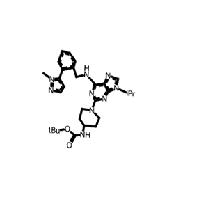 CC(C)n1cnc2c(NCc3ccccc3-c3ccnn3C)nc(N3CCC(NC(=O)OC(C)(C)C)CC3)nc21